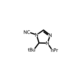 CCCN1N=CN(C#N)C1C(C)(C)C